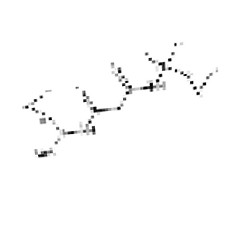 CSN(NC(=O)CC(=O)N[N+](C)([S-])C1CC1)C1CC1